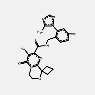 Cc1ncnn1-c1cc(F)ccc1CNC(=O)c1nc2n(c(=O)c1O)CCOC21CCC1